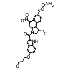 NOOSc1ccc2c3c(cc([N+](=O)[O-])c2c1)N(C(=O)c1cc2cc(OCCC=O)ccc2[nH]1)CC3CCl